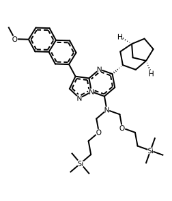 COc1ccc2ccc(-c3cnn4c(N(COCC[Si](C)(C)C)COCC[Si](C)(C)C)cc([C@H]5C[C@@H]6CC[C@@H](C6)C5)nc34)cc2c1